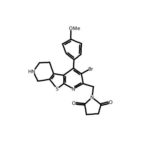 COc1ccc(-c2c(Br)c(CN3C(=O)CCC3=O)nc3sc4c(c23)CCNC4)cc1